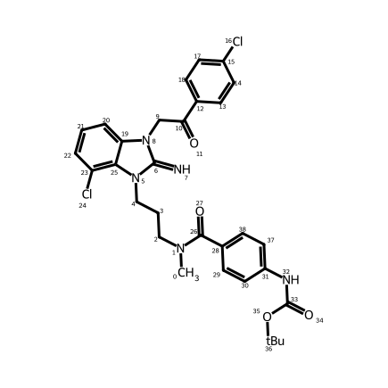 CN(CCCn1c(=N)n(CC(=O)c2ccc(Cl)cc2)c2cccc(Cl)c21)C(=O)c1ccc(NC(=O)OC(C)(C)C)cc1